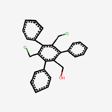 OCc1c(-c2ccccc2)c(CCl)c(-c2ccccc2)c(CCl)c1-c1ccccc1